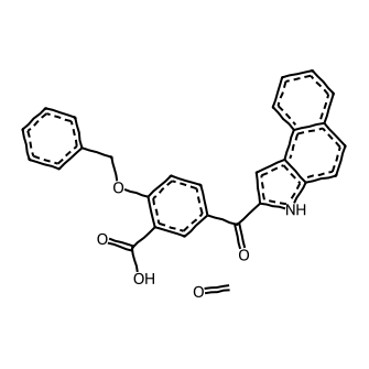 C=O.O=C(c1ccc(OCc2ccccc2)c(C(=O)O)c1)c1cc2c(ccc3ccccc32)[nH]1